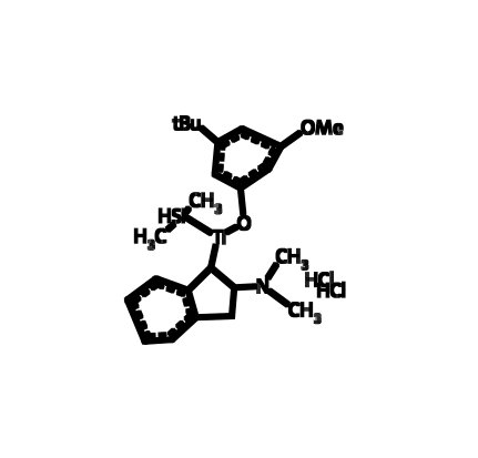 COc1cc([O][Ti]([CH]2c3ccccc3CC2N(C)C)[SiH](C)C)cc(C(C)(C)C)c1.Cl.Cl